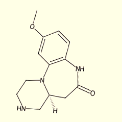 COc1ccc2c(c1)N1CCNC[C@@H]1CC(=O)N2